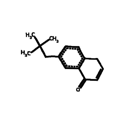 CC(C)(C)Cc1ccc2c(c1)C(=O)C=CC2